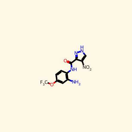 Nc1cc(OC(F)(F)F)ccc1NC(=O)c1n[nH]cc1[N+](=O)[O-]